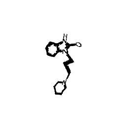 O=c1[nH]c2ccccc2n1CC=CN1CCCCC1